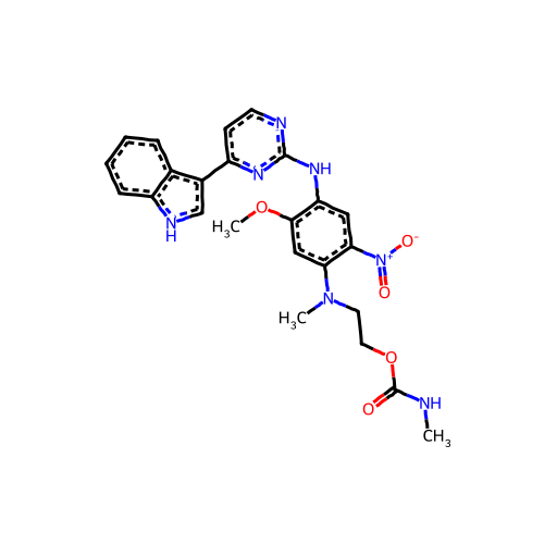 CNC(=O)OCCN(C)c1cc(OC)c(Nc2nccc(-c3c[nH]c4ccccc34)n2)cc1[N+](=O)[O-]